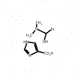 CCC(O)N(C)C.O=C(O)c1c[nH]cn1